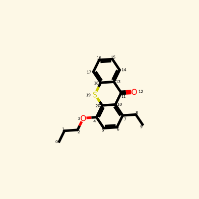 CCCOc1ccc(CC)c2c(=O)c3ccccc3sc12